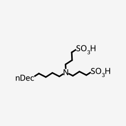 CCCCCCCCCCCCCCN(CCCS(=O)(=O)O)CCCS(=O)(=O)O